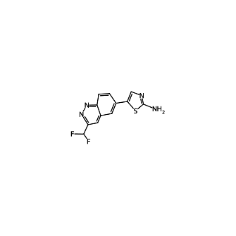 Nc1ncc(-c2ccc3nnc(C(F)F)cc3c2)s1